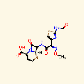 CO/N=C(\C(=O)NC1C(=O)N2C(C(=O)O)=CCS[C@H]12)c1csc(NC=O)n1